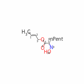 CC=CCOC(=O)C(CCCCC)=NO